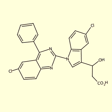 O=C(O)CC(O)c1cn(-c2nc(-c3ccccc3)c3cc(Cl)ccc3n2)c2ccc(Cl)cc12